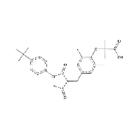 Cc1cc(CN2C(=O)CN(c3ccc(C(C)(C)C)cc3)C2=O)cc(C)c1OC(C)(C)C(=O)O